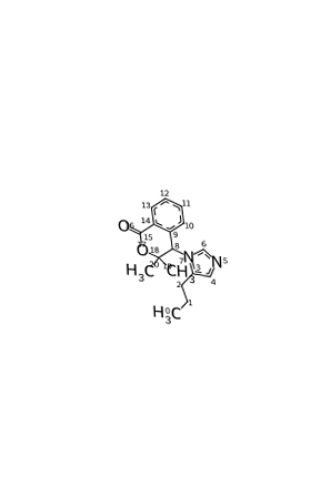 CCCc1cncn1C1c2ccccc2C(=O)OC1(C)C